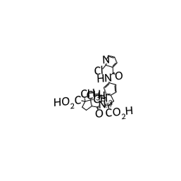 CC1(C(=O)O)CCC(C(=O)N[C@@H](Cc2ccc(NC(=O)c3cccnc3Cl)cc2)C(=O)O)C1(C)C